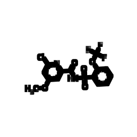 COc1cc(Cl)nc(C(=O)NS(=O)(=O)c2ccccc2OC(F)(F)F)c1